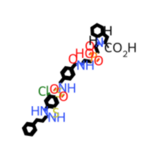 O=C(NCCP(=O)(O)CC(=O)N1[C@@H]2CCCC[C@@H]2C[C@H]1C(=O)O)c1ccc(CNS(=O)(=O)c2cc3c(cc2Cl)NC(CCc2ccccc2)NS3)cc1